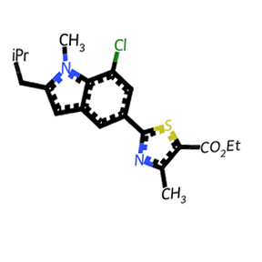 CCOC(=O)c1sc(-c2cc(Cl)c3c(c2)cc(CC(C)C)n3C)nc1C